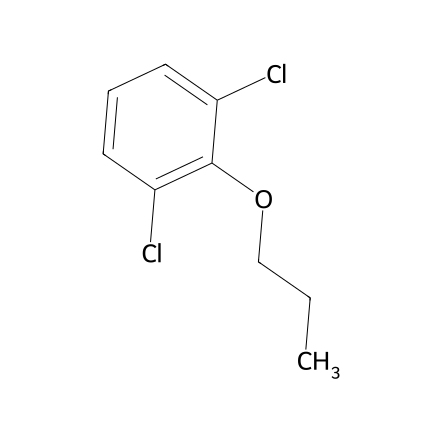 CCCOc1c(Cl)cccc1Cl